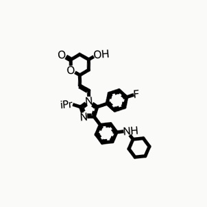 CC(C)c1nc(-c2cccc(NC3CCCCC3)c2)c(-c2ccc(F)cc2)n1C=CC1CC(O)CC(=O)O1